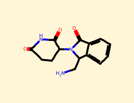 NCC1c2ccccc2C(=O)N1C1CCC(=O)NC1=O